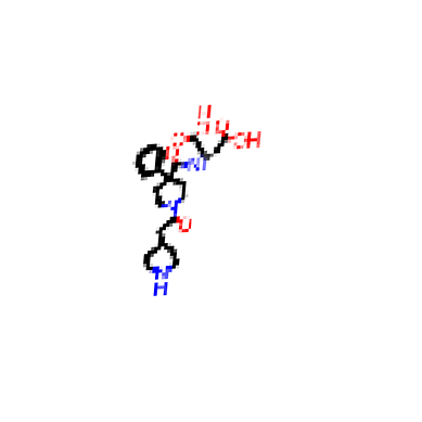 O=C(O)C[C@H](NC(=O)C1(c2ccccc2)CCN(C(=O)CC2CCNCC2)CC1)C(=O)O